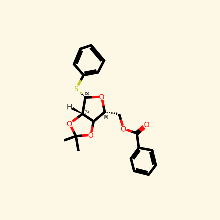 CC1(C)OC2[C@@H](COC(=O)c3ccccc3)O[C@@H](Sc3ccccc3)[C@H]2O1